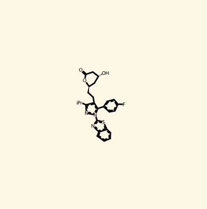 CC(C)c1nn(-c2nc3ccccc3s2)c(-c2ccc(F)cc2)c1CC[C@@H]1C[C@@H](O)CC(=O)O1